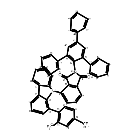 O=C1c2cccc(-n3c4ccccc4c4cccc(-c5ccc(C(F)(F)F)cc5C(F)(F)F)c43)c2C(=O)N1c1c(-c2ccccc2)cc(-c2ccccc2)cc1-c1ccccc1